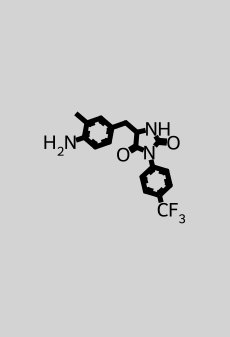 Cc1cc(CC2NC(=O)N(c3ccc(C(F)(F)F)cc3)C2=O)ccc1N